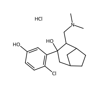 CN(C)CC1C2CCC(C2)CC1(O)c1cc(O)ccc1Cl.Cl